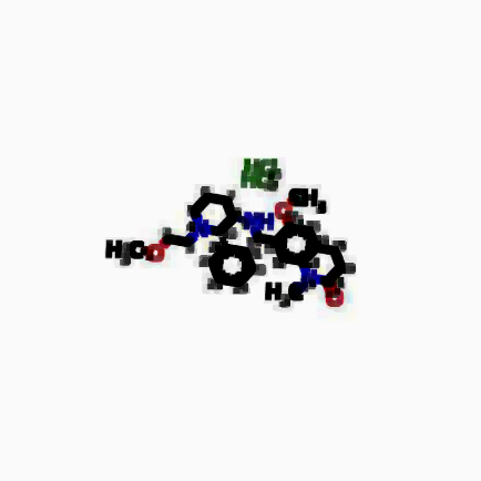 COCCN1CCC[C@H](NCc2cc3c(cc2OC)CCC(=O)N3C)[C@@H]1c1ccccc1.Cl.Cl